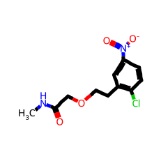 CNC(=O)COCCc1cc([N+](=O)[O-])ccc1Cl